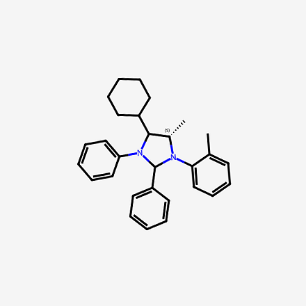 Cc1ccccc1N1C(c2ccccc2)N(c2ccccc2)C(C2CCCCC2)[C@@H]1C